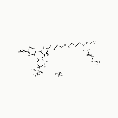 COc1ccc(-c2cc(COCCCCCCCN(CCS)CCNCCS)nn2-c2ccc(S(N)(=O)=O)cc2)cc1.Cl.Cl